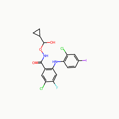 O=C(NOC(O)C1CC1)c1cc(Cl)c(F)cc1Nc1ccc(I)cc1Cl